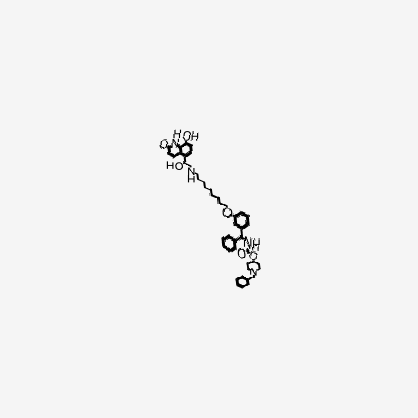 O=C(NC(c1ccccc1)c1cccc(OCCCCCCCCCNCC(O)c2ccc(O)c3[nH]c(=O)ccc23)c1)OC1CCN(Cc2ccccc2)CC1